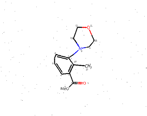 COC(=O)c1cccc(N2CCOCC2)c1C